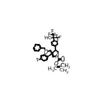 CC(C)(C)OC(=O)N1CC(c2ccc(C(O)(C(F)(F)F)C(F)(F)F)cc2)C(COCc2ccccc2)(c2ccc(F)cc2)C1